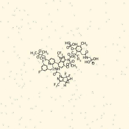 Cc1cc(CC(=O)NCP(=O)(O)O)c(C(C)(C)CC(=O)N(c2nn(CC(F)(F)F)c3c(-c4ccc(CCC(C)(C)S(C)(=O)=O)nc4[C@H](Cc4cc(F)cc(F)c4)NC(=O)Cn4nc(C(F)(F)F)c5c4C(F)(F)[C@@H]4C[C@H]54)ccc(Cl)c23)S(C)(=O)=O)c(OP(=O)(O)O)c1